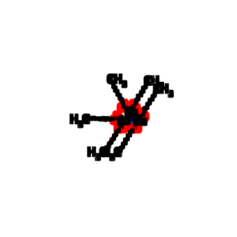 CCCCCCCCCCCCOC(=O)CC[As](CCC(=O)OCCCCCCCCCCCC)CCN(CC[As](CCC(=O)OCCCCCCCCCCCC)CCC(=O)OCCCCCCCCCCCC)CC[As](CCC(=O)OCCCCCCCCCCCC)CCC(=O)OCCCCCCCCCCCC